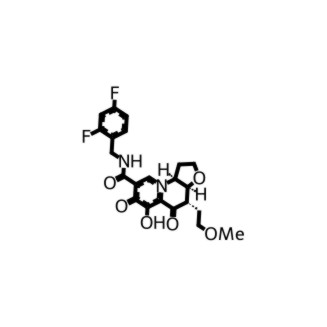 COCC[C@@H]1C(=O)c2c(O)c(=O)c(C(=O)NCc3ccc(F)cc3F)cn2[C@H]2CCO[C@@H]12